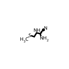 CSCCC(N)C#N.N